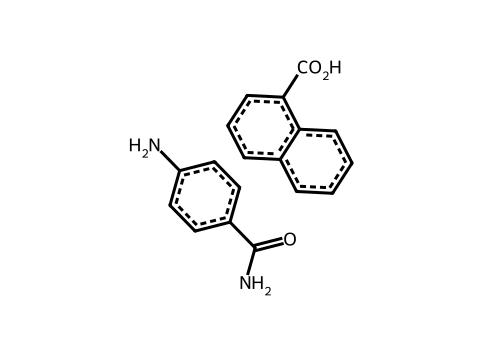 NC(=O)c1ccc(N)cc1.O=C(O)c1cccc2ccccc12